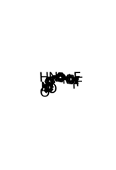 CN1C(=O)COc2cc(Nc3ccc(N4CCC(C(F)(F)F)CC4)cc3)ccc21